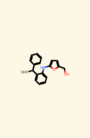 O=CC(c1ccccc1)c1ccccc1Nc1ccc(CO)o1